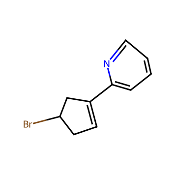 BrC1CC=C(c2ccccn2)C1